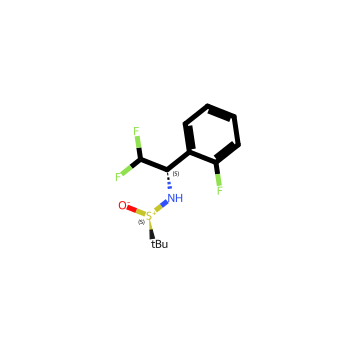 CC(C)(C)[S@@+]([O-])N[C@@H](c1ccccc1F)C(F)F